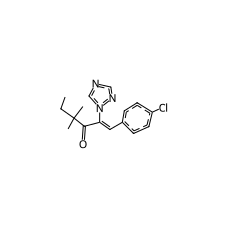 CCC(C)(C)C(=O)C(=Cc1ccc(Cl)cc1)n1cncn1